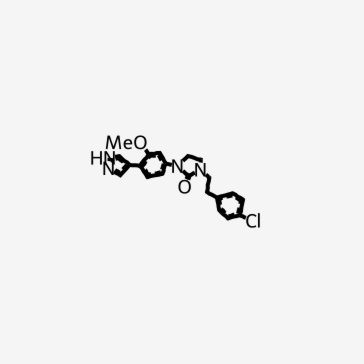 COc1cc(N2CCN(CCc3ccc(Cl)cc3)C2=O)ccc1-c1cn[nH]c1